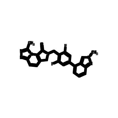 Cc1nnc2ccc3c(n12)C(=O)N(Cc1c(F)cc(-c2cccc4nn(C)cc24)cc1F)C3